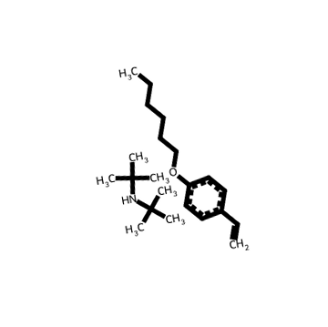 C=Cc1ccc(OCCCCCC)cc1.CC(C)(C)NC(C)(C)C